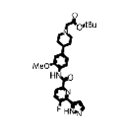 COc1cc(C2CCN(CC(=O)OC(C)(C)C)CC2)ccc1NC(=O)c1ccc(F)c(-c2ccn[nH]2)n1